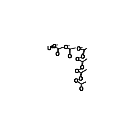 CC(=O)[O-].CC(=O)[O-].CC(=O)[O-].CC(=O)[O-].CC(=O)[O-].CC(=O)[O-].[U+6]